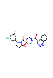 O=C(c1cnnc2ccccc12)N1CCC2(CC1)OC1CCC(c3cc(F)cc(F)c3)N1C2=O